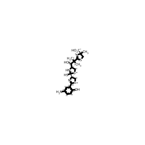 CC(C)(C1=N[C@@](C)(C(=O)O)CS1)[C@H](O)C1CSC(S)([C@H]2CSC(c3cc(N)ccc3O)=N2)N1